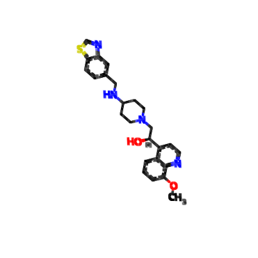 COc1cccc2c([C@@H](O)CN3CCC(NCc4ccc5scnc5c4)CC3)ccnc12